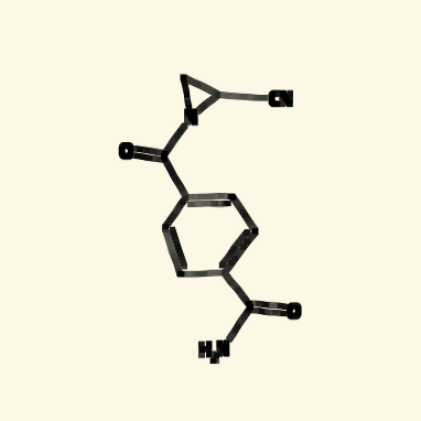 N#CC1CN1C(=O)c1ccc(C(N)=O)cc1